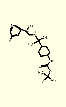 CC(C)(C)OC(=O)NC1CCC(C(C)(C)NC[C@H](O)c2cncc(F)c2)CC1